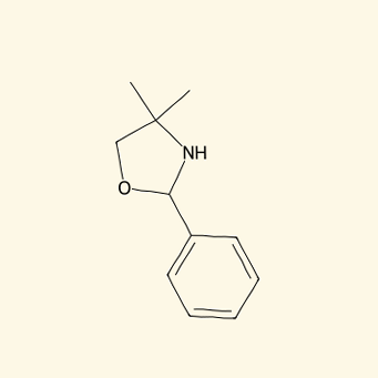 CC1(C)COC(c2ccccc2)N1